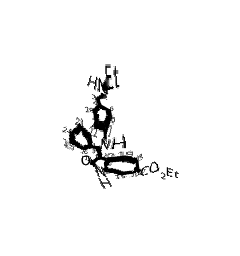 CCNCCc1ccc(NC(=C2C(=O)Nc3cc(C(=O)OCC)ccc32)c2ccccc2)cc1